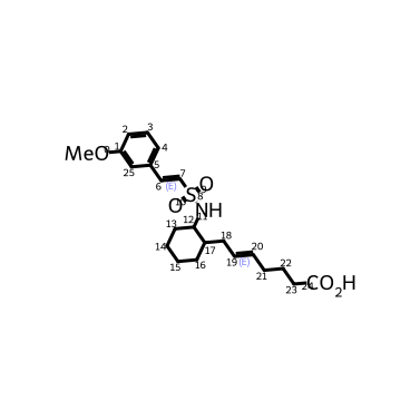 COc1cccc(/C=C/S(=O)(=O)NC2CCCCC2C/C=C/CCCC(=O)O)c1